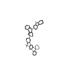 CC1(C)c2ccc(-c3ccc4c(c3)c3ccccc3n4-c3ccc4c(c3)sc3ccccc34)cc2-c2cc3c(cc21)-c1ccccc1C31CCCCC1